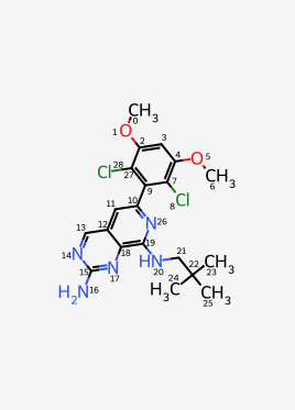 COc1cc(OC)c(Cl)c(-c2cc3cnc(N)nc3c(NCC(C)(C)C)n2)c1Cl